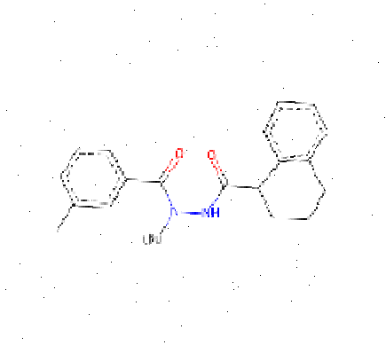 Cc1cccc(C(=O)N(NC(=O)C2CCCc3ccccc32)C(C)(C)C)c1